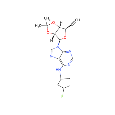 C#C[C@H]1O[C@@H](n2cnc3c(NC4CCC(F)C4)ncnc32)[C@@H]2OC(C)(C)O[C@@H]21